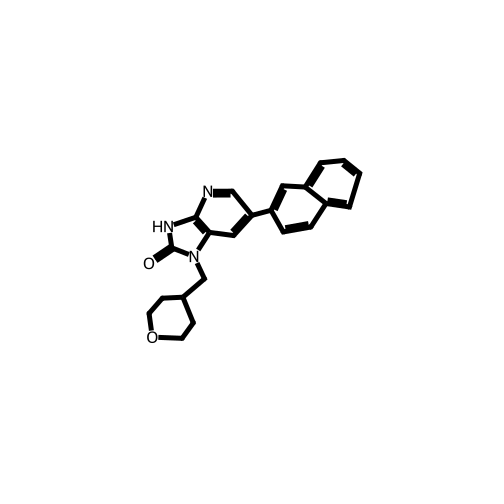 O=c1[nH]c2ncc(-c3ccc4ccccc4c3)cc2n1CC1CCOCC1